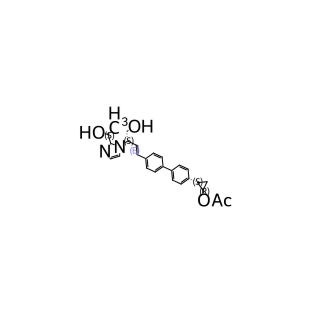 CC(=O)O[C@@H]1C[C@H]1c1ccc(-c2ccc(/C=C/[C@@H](CO)n3ccnc3[C@H](C)O)cc2)cc1